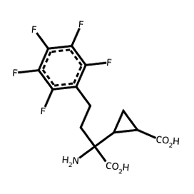 NC(CCc1c(F)c(F)c(F)c(F)c1F)(C(=O)O)C1CC1C(=O)O